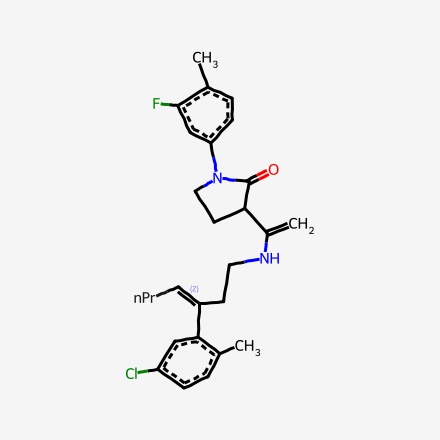 C=C(NCC/C(=C/CCC)c1cc(Cl)ccc1C)C1CCN(c2ccc(C)c(F)c2)C1=O